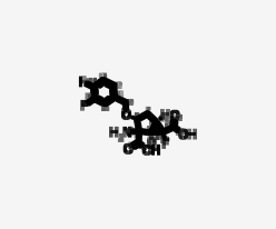 NC1(C(=O)O)[C@H]2[C@@H](C[C@H]1OCc1ccc(F)c(F)c1)[C@]2(F)C(=O)O